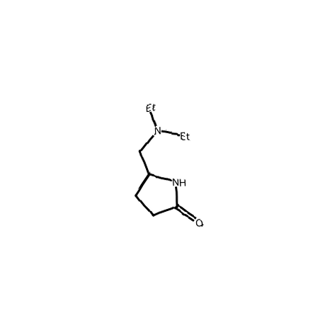 CCN(CC)CC1CCC(=O)N1